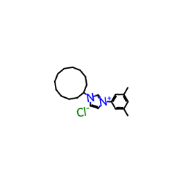 Cc1cc(C)cc(-[n+]2ccn(C3CCCCCCCCCCC3)c2)c1.[Cl-]